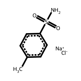 Cc1ccc(S(N)(=O)=O)cc1.[Cl-].[Na+]